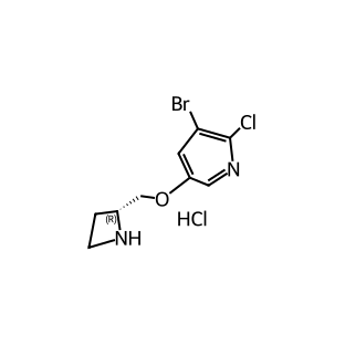 Cl.Clc1ncc(OC[C@H]2CCN2)cc1Br